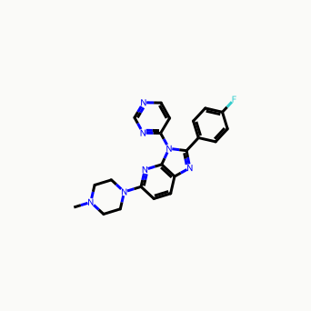 CN1CCN(c2ccc3nc(-c4ccc(F)cc4)n(-c4ccncn4)c3n2)CC1